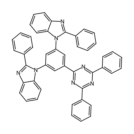 c1ccc(-c2nc(-c3ccccc3)nc(-c3cc(-n4c(-c5ccccc5)nc5ccccc54)cc(-n4c(-c5ccccc5)nc5ccccc54)c3)n2)cc1